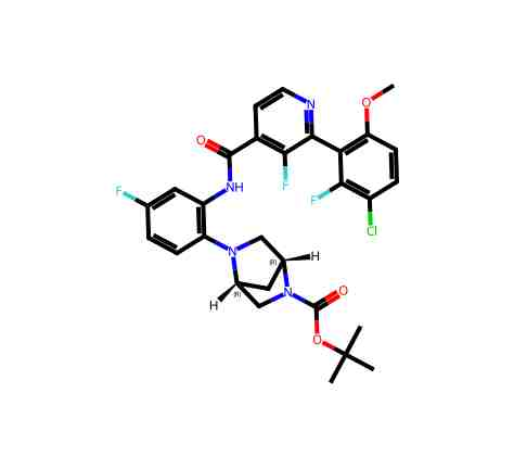 COc1ccc(Cl)c(F)c1-c1nccc(C(=O)Nc2cc(F)ccc2N2C[C@H]3C[C@@H]2CN3C(=O)OC(C)(C)C)c1F